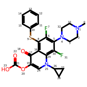 CN1CCN(c2c(F)c(Sc3ccccc3)c3c(=O)c(OC(=O)O)cn(C4CC4)c3c2F)CC1